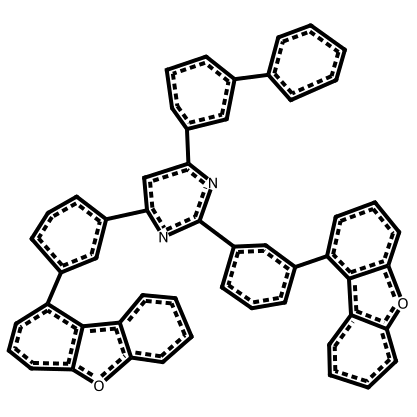 c1ccc(-c2cccc(-c3cc(-c4cccc(-c5cccc6oc7ccccc7c56)c4)nc(-c4cccc(-c5cccc6oc7ccccc7c56)c4)n3)c2)cc1